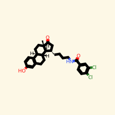 C[C@]12CC[C@@H]3c4ccc(O)cc4CC[C@H]3[C@@H]1[C@@H](CCCCNC(=O)c1ccc(Cl)c(Cl)c1)CC2=O